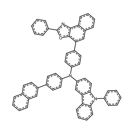 c1ccc(-c2nc3c(o2)c(-c2ccc(N(c4ccc(-c5ccc6ccccc6c5)cc4)c4ccc5c(c4)c4ccccc4n5-c4ccccc4)cc2)cc2ccccc23)cc1